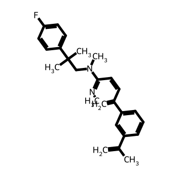 C=C(C)c1cccc(C(=C)/C=C\C(=N/C)N(C)CC(C)(C)c2ccc(F)cc2)c1